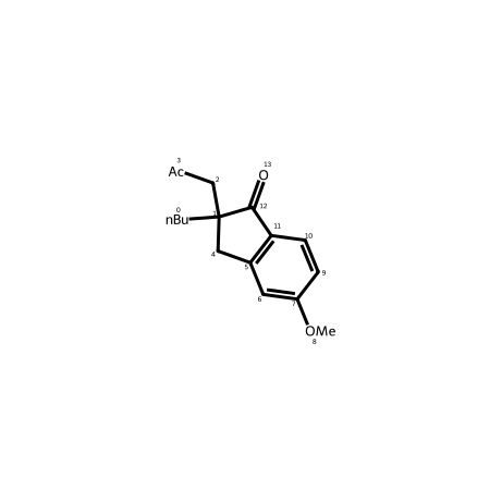 CCCCC1(CC(C)=O)Cc2cc(OC)ccc2C1=O